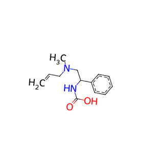 C=CCN(C)CC(NC(=O)O)c1ccccc1